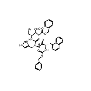 CC(C)C[C@H](NC(=O)[C@@H](Cc1c[nH]cn1)NC(=O)[C@H](Cc1cccc2ccccc12)NC(=O)OCc1ccccc1)[C@@H](C=O)CC(=O)OCc1ccccc1